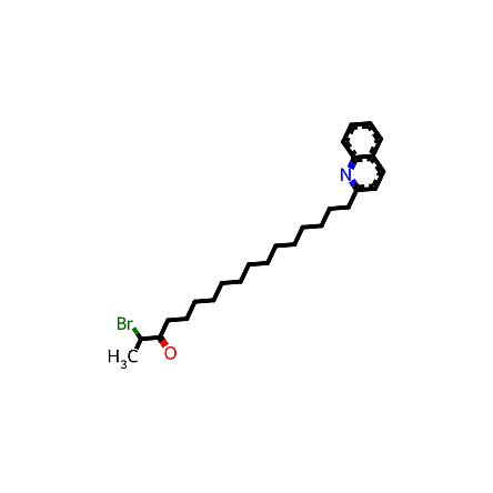 CC(Br)C(=O)CCCCCCCCCCCCCCc1ccc2ccccc2n1